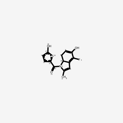 CC1=[C]C2=C(F)C(O)=CCC2N1C(=O)c1ccc(O)s1